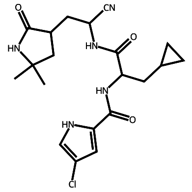 CC1(C)CC(CC(C#N)NC(=O)C(CC2CC2)NC(=O)c2cc(Cl)c[nH]2)C(=O)N1